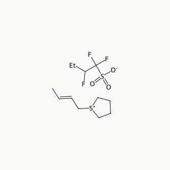 CC=CC[S+]1CCCC1.CCC(F)C(F)(F)S(=O)(=O)[O-]